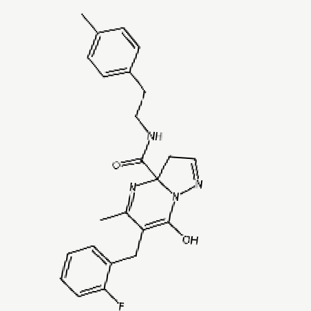 CC1=NC2(C(=O)NCCc3ccc(C)cc3)CC=NN2C(O)=C1Cc1ccccc1F